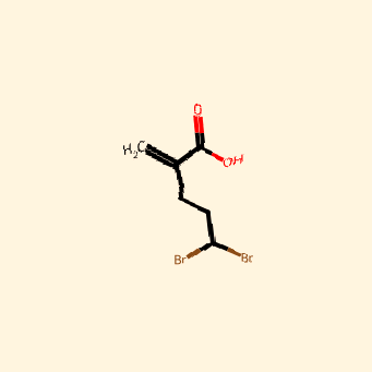 C=C(CCC(Br)Br)C(=O)O